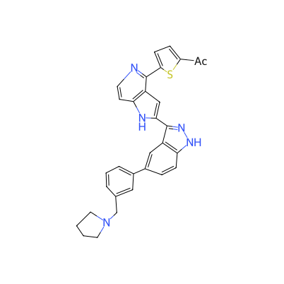 CC(=O)c1ccc(-c2nccc3[nH]c(-c4n[nH]c5ccc(-c6cccc(CN7CCCC7)c6)cc45)cc23)s1